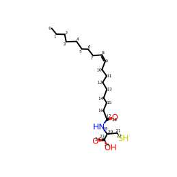 CCCCCCCC/C=C\CCCCCCCC(=O)NC(CS)C(=O)O